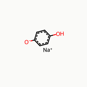 [Na+].[O-]c1ccc(O)cc1